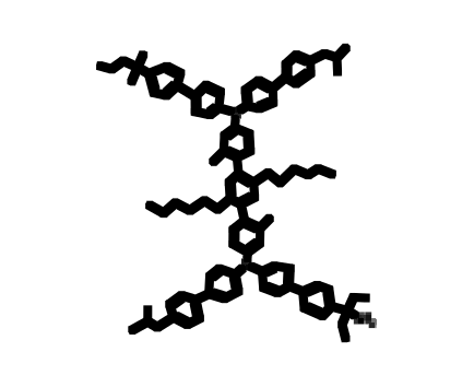 CCCCCCc1cc(-c2ccc(N(c3ccc(-c4ccc(CC(C)C)cc4)cc3)c3ccc(-c4ccc(C(N)(CC)CC)cc4)cc3)cc2C)c(CCCCCC)cc1-c1ccc(N(c2ccc(-c3ccc(CC(C)C)cc3)cc2)c2ccc(-c3ccc(C(C)(C)CCC)cc3)cc2)cc1C